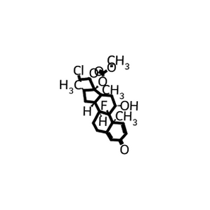 COC(=O)O[C@]1(C(=O)CCl)[C@@H](C)C[C@H]2[C@@H]3CCC4=CC(=O)C=C[C@]4(C)[C@@]3(F)[C@@H](O)C[C@@]21C